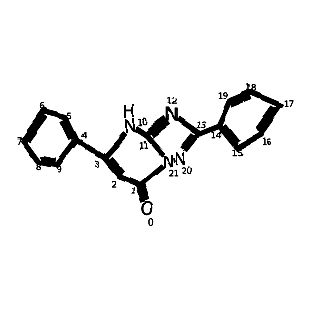 O=c1cc(-c2ccccc2)[nH]c2nc(-c3ccccc3)nn12